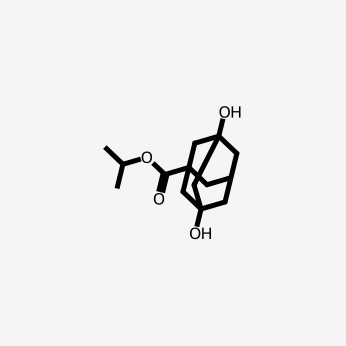 CC(C)OC(=O)C12CC3CC(O)(CC(O)(C3)C1)C2